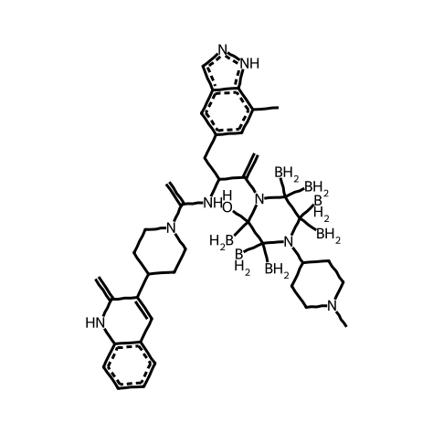 BC1(B)N(C2CCN(C)CC2)C(B)(B)C(B)(O)N(C(=C)C(Cc2cc(C)c3[nH]ncc3c2)NC(=C)N2CCC(C3=Cc4ccccc4NC3=C)CC2)C1(B)B